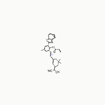 C=CC(=O)Oc1c(/C=C/C2=CC(=C(C#N)C#N)CC(C)(C)C2)cc(C)cc1-c1nc2ccccc2s1